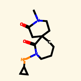 CN1CCC2(CCCCN(PC3CC3)C2=O)CC1=O